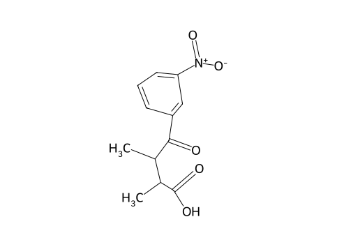 CC(C(=O)O)C(C)C(=O)c1cccc([N+](=O)[O-])c1